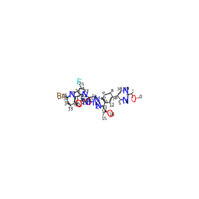 COCc1ncc(-c2ccc3c(c2)c(C(C)=O)nn3CC(=O)N2C[C@H](F)C[C@@]2(C(N)=O)c2cccc(Br)n2)cn1